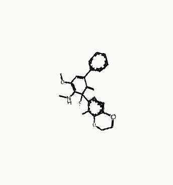 CNC1=C(OC)C=C(c2ccccc2)C(C)C1(F)c1ccc2c(c1C)OCCO2